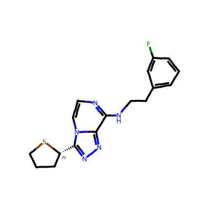 Fc1cccc(CCNc2nccn3c([C@@H]4CCCS4)nnc23)c1